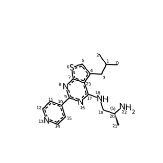 CC(C)Cc1csc2nc(-c3ccncc3)nc(NC[C@H](C)N)c12